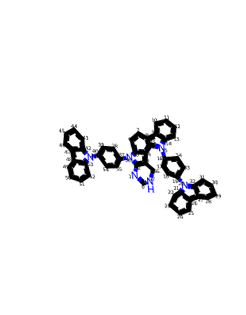 C1=Nc2c(c3c(ccc4c5ccccc5n(-c5ccc(-n6c7ccccc7c7ccccc76)cc5)c43)n2-c2ccc(-n3c4ccccc4c4ccccc43)cc2)CN1